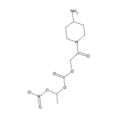 CC(OC(=O)OCC(=O)N1CCC(N)CC1)O[N+](=O)[O-]